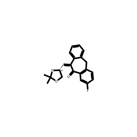 CC1(C)OC[C@@H](C=C2C(=O)c3cc(F)ccc3Cc3ccccc32)O1